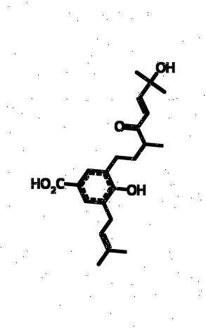 CC(C)=CCc1cc(C(=O)O)cc(CCC(C)C(=O)C=CC(C)(C)O)c1O